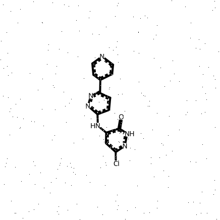 O=c1[nH]nc(Cl)cc1Nc1ccc(-c2ccncc2)nn1